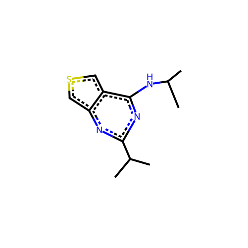 CC(C)Nc1nc(C(C)C)nc2cscc12